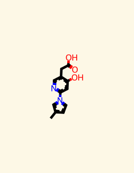 Cc1ccn(-c2cc(O)c(CC(=O)O)cn2)c1